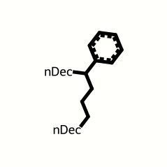 CCCCCCCCCCCCCC(CCCCCCCCCC)c1ccccc1